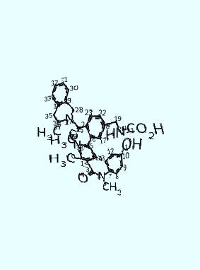 Cc1c(C(=O)N(C)c2ccc(O)cc2)cc(-c2cc(CNC(=O)O)ccc2C(=O)N2Cc3ccccc3C[C@H]2C)n1C